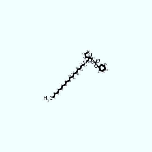 CCCCCCCCCCCCCCCCCCOCC1(COC(=O)Oc2ccccc2)CCCO1